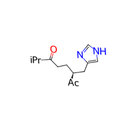 CC(=O)[C@@H](CCC(=O)C(C)C)Cc1c[nH]cn1